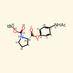 CC(=O)Nc1ccc(OC(=O)[C@@H]2CCCN2C(=O)OC(C)(C)C)cc1